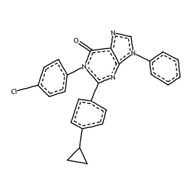 O=c1c2ncn(-c3ccccc3)c2nc(-c2ccc(C3CC3)cc2)n1-c1ccc(Cl)cc1